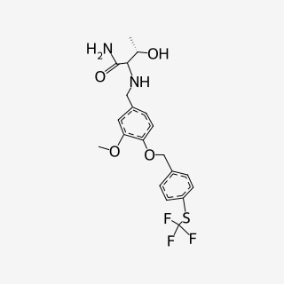 COc1cc(CNC(C(N)=O)[C@H](C)O)ccc1OCc1ccc(SC(F)(F)F)cc1